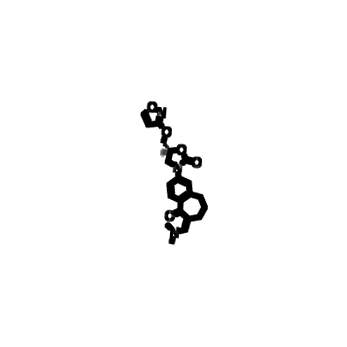 CN(C)C=C1CCCc2cc(N3C[C@H](COc4ccon4)OC3=O)ccc2C1=O